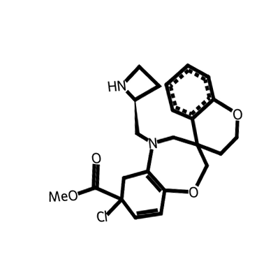 COC(=O)C1(Cl)C=CC2=C(C1)N(C[C@@H]1CCN1)CC1(CCOc3ccccc31)CO2